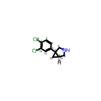 Clc1ccc(C23CNC[C@H]2C3)cc1Cl